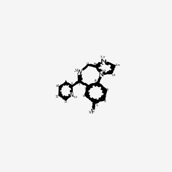 Fc1ccc2c(c1)C(c1ccccn1)=NCc1nccn1-2